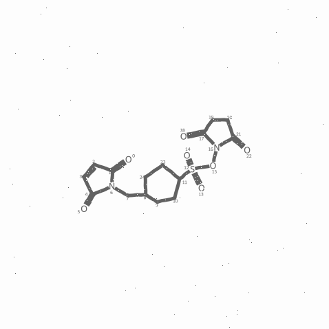 O=C1C=CC(=O)N1CC1CCC(S(=O)(=O)ON2C(=O)CCC2=O)CC1